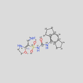 N=C/C(=C1\NCCO1)S(=O)(=O)NC(=O)Nc1c2c(cc3c1CCC3)CCC2